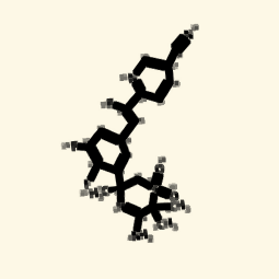 CC1(C)C(N)=N[C@](C)(c2cc(/C=C(\F)c3ccc(C#N)cn3)cc(F)c2F)CS1(=O)=O